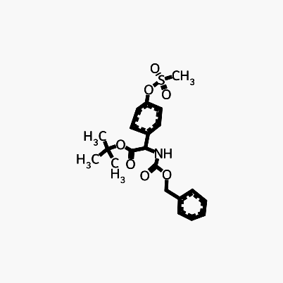 CC(C)(C)OC(=O)C(NC(=O)OCc1ccccc1)c1ccc(OS(C)(=O)=O)cc1